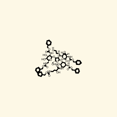 O=C(NCC[C@H](O)C(=O)N[C@@H]1C[C@H](NC(=O)OCc2ccccc2)[C@@H](O[C@H]2O[C@H](CNCCO)[C@@H]3O[C@@H]3[C@H]2NC(=O)OCc2ccccc2)[C@H](O[C@@H]2O[C@H](CO)[C@@H](O[C@H]3O[C@@H](CNC(=O)OCc4ccccc4)[C@@H](O)[C@H](O)[C@H]3NC(=O)OCc3ccccc3)[C@H]2O)[C@H]1O)OCc1ccccc1